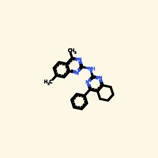 Cc1ccc2c(C)nc(Nc3nc4c(c(-c5ccccc5)n3)CCCC4)nc2c1